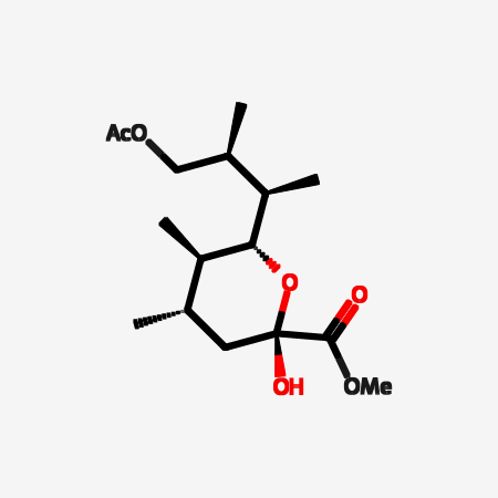 COC(=O)[C@]1(O)C[C@H](C)[C@@H](C)[C@H]([C@H](C)[C@H](C)COC(C)=O)O1